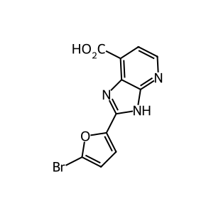 O=C(O)c1ccnc2[nH]c(-c3ccc(Br)o3)nc12